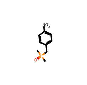 CP(C)(=O)Cc1ccc([N+](=O)[O-])cc1